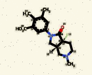 Cc1cc(N2C[C@@H]3CN(C)CC[C@]3(F)C2=O)cc(C(=O)O)c1C